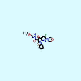 COCCNC(=O)c1c(=O)c2cc(F)c(N3CCOCC3)nc2n2c1sc1ccccc12